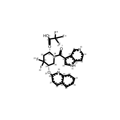 O=C(O)C(F)(F)F.O=C(c1c[nH]c2ccncc12)N1CCC(F)(F)[C@@H](Oc2ccc3ccccc3n2)C1